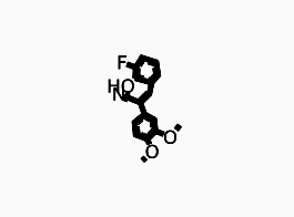 COc1ccc(C(C#N)=Cc2cccc(F)c2O)cc1OC